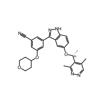 Cc1cnnc(C)c1[C@@H](C)Oc1ccc2[nH]nc(-c3cc(C#N)cc(OC4CCOCC4)c3)c2c1